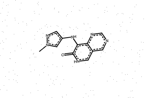 Cn1cc(Nc2c(=O)[nH]cc3cncnc23)cn1